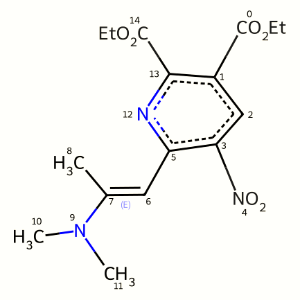 CCOC(=O)c1cc([N+](=O)[O-])c(/C=C(\C)N(C)C)nc1C(=O)OCC